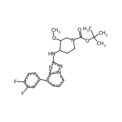 COC1CN(C(=O)OC(C)(C)C)CCC1Nc1nc2c(-c3ccc(F)c(F)c3)cccn2n1